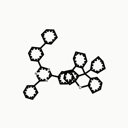 c1ccc(-c2cccc(-c3nc(-c4ccccc4)nc(-c4cccc(-c5ccccc5C5(c6ccccc6)c6ccccc6Oc6ccccc65)c4)n3)c2)cc1